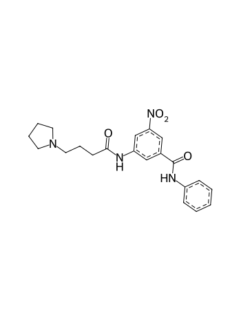 O=C(CCCN1CCCC1)Nc1cc(C(=O)Nc2ccccc2)cc([N+](=O)[O-])c1